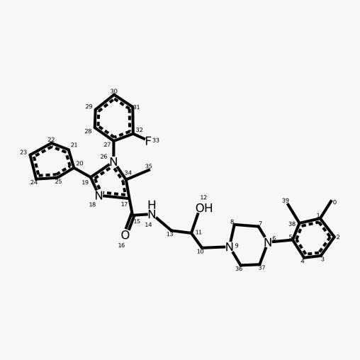 Cc1cccc(N2CCN(CC(O)CNC(=O)c3nc(-c4ccccc4)n(-c4ccccc4F)c3C)CC2)c1C